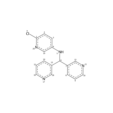 Clc1ccc(NC(c2cccnc2)c2cccnc2)cn1